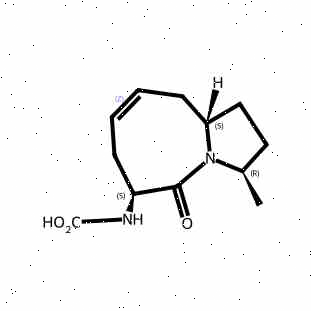 C[C@@H]1CC[C@H]2C/C=C\C[C@H](NC(=O)O)C(=O)N21